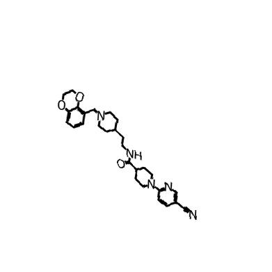 N#Cc1ccc(N2CCC(C(=O)NCCC3CCN(Cc4cccc5c4OCCO5)CC3)CC2)nc1